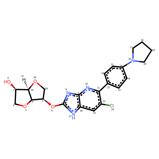 O[C@@H]1COC2[C@H](Oc3nc4nc(-c5ccc(N6CCCC6)cc5)c(Cl)cc4[nH]3)CO[C@@H]21